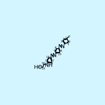 Cc1ccc(N=Nc2ccc(N=Nc3ccc(NCCO)cc3)cc2)cc1